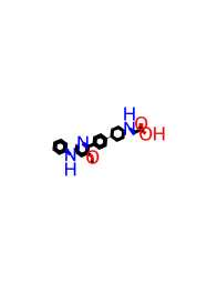 COc1cc(Nc2ccccc2)cnc1-c1ccc([C@H]2CC[C@H](NCC(=O)O)CC2)cc1